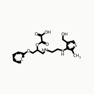 Cc1scc(CO)c1NCCNCC(COc1ccccc1)OC(=O)C(=O)O